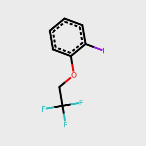 FC(F)(F)COc1ccccc1I